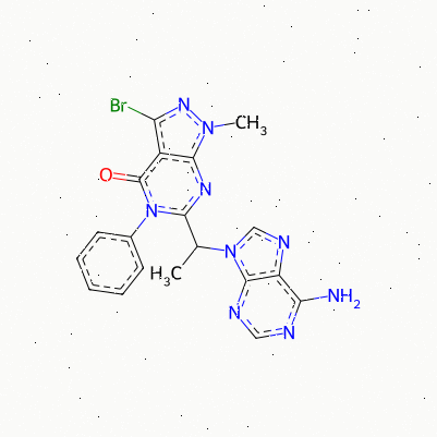 CC(c1nc2c(c(Br)nn2C)c(=O)n1-c1ccccc1)n1cnc2c(N)ncnc21